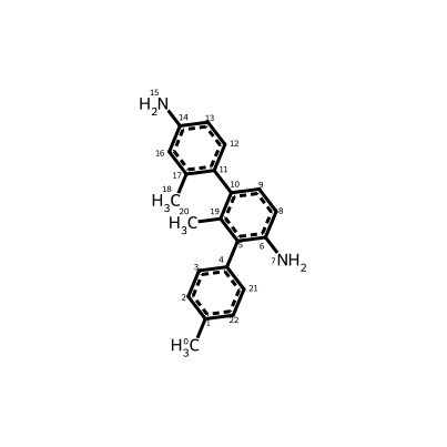 Cc1ccc(-c2c(N)ccc(-c3ccc(N)cc3C)c2C)cc1